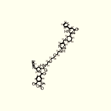 Cn1c(=O)oc(=O)c2ccc(C(=O)N3CC(N=[N+]=[N-])C[C@H]3C(=O)NCCOCCOCCNc3ncc(CN4CCCC(c5nc(=O)cc(-c6cccs6)[nH]5)C4)cn3)cc21